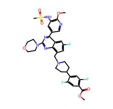 COC(=O)c1cc(F)c(C2CCN(Cc3cc(F)cc4c(-c5cnc(OC)c(NS(C)(=O)=O)c5)nc(N5CCOCC5)nc34)CC2)cc1F